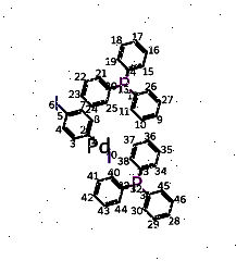 [I][Pd][c]1ccc(I)cc1.c1ccc(P(c2ccccc2)c2ccccc2)cc1.c1ccc(P(c2ccccc2)c2ccccc2)cc1